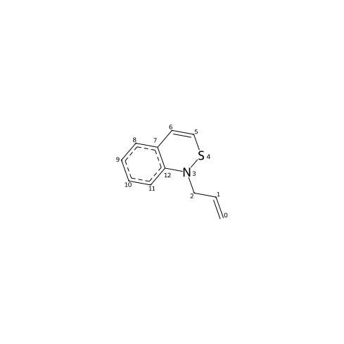 C=CCN1SC=Cc2ccccc21